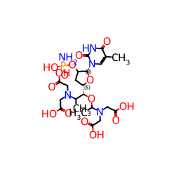 Cc1cn([C@@H]2O[C@H](C(OC(C)N(CC(=O)O)CC(=O)O)C(C)N(CC(=O)O)CC(=O)O)CC2OP(N)(=O)O)c(=O)[nH]c1=O